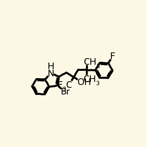 CC(C)(CC(O)(Cc1[nH]c2ccccc2c1Br)C(F)(F)F)c1cccc(F)c1